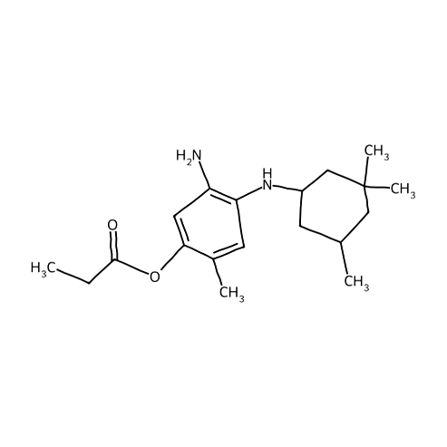 CCC(=O)Oc1cc(N)c(NC2CC(C)CC(C)(C)C2)cc1C